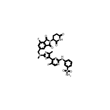 Cc1nc(N(C)Cc2cc(F)c3c(c2)C(=O)N(C2CCC(=O)NC2=O)C3=O)sc1-c1nc(Nc2cccc(S(N)(=O)=O)c2)ncc1F